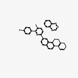 Cc1ccc(-c2ccc3ccc4c(c3c2)CCC2=C4C=CCC2)nc1-c1ccc(F)cc1.c1ccc2nncnc2c1